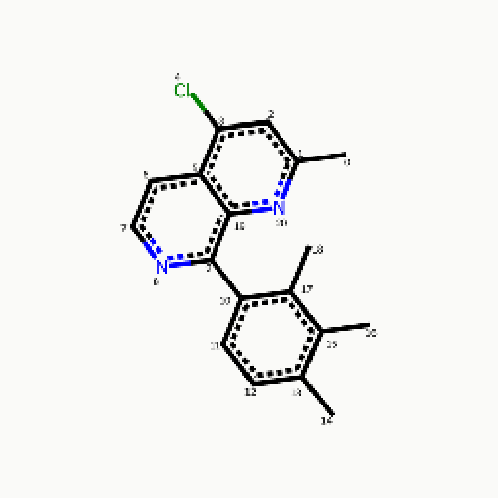 Cc1cc(Cl)c2ccnc(-c3ccc(C)c(C)c3C)c2n1